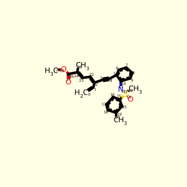 C=C/C(C#Cc1ccccc1N=S(C)(=O)c1cccc(C)c1)=C\C=C(/C)C(=O)OC